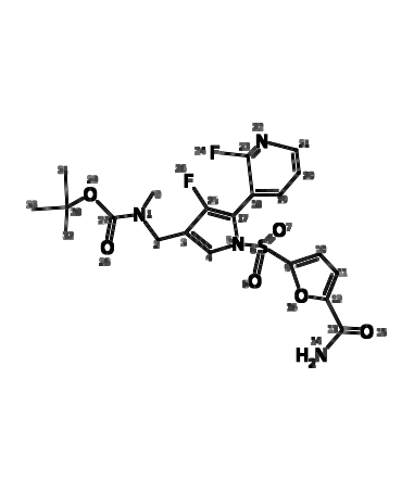 CN(Cc1cn(S(=O)(=O)c2ccc(C(N)=O)o2)c(-c2cccnc2F)c1F)C(=O)OC(C)(C)C